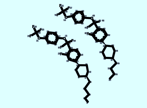 CCCCC[C@H]1CC[C@H](c2ccc(C(F)(F)Oc3ccc(OC(F)(F)F)cc3)c(F)c2)CC1.CCCC[C@H]1CC[C@H](c2ccc(C(F)(F)Oc3ccc(OC(F)(F)F)cc3)c(F)c2)CC1